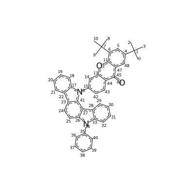 CC(C)(C)c1cc(C(C)(C)C)c2oc3cc(-n4c5ccccc5c5ccc6c(c7ccccc7n6-c6ccccc6)c54)ccc3c(=O)c2c1